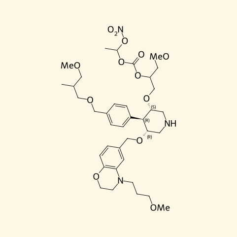 COCCCN1CCOc2ccc(CO[C@H]3CNC[C@@H](OCC(COC)OC(=O)OC(C)O[N+](=O)[O-])[C@@H]3c3ccc(COCC(C)COC)cc3)cc21